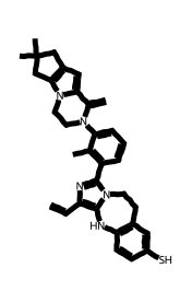 C=Cc1nc(-c2cccc(N3CCn4c(cc5c4CC(C)(C)C5)C3=C)c2C)n2c1Nc1ccc(S)cc1CC2